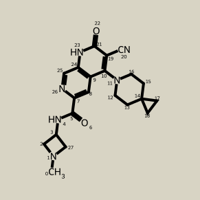 CN1CC(NC(=O)c2cc3c(N4CCC5(CC4)CC5)c(C#N)c(=O)[nH]c3cn2)C1